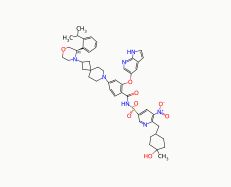 CC(C)c1ccccc1[C@@H]1COCCN1C1CC2(CCN(c3ccc(C(=O)NS(=O)(=O)c4cnc(CC5CCC(C)(O)CC5)c([N+](=O)[O-])c4)c(Oc4cnc5[nH]ccc5c4)c3)CC2)C1